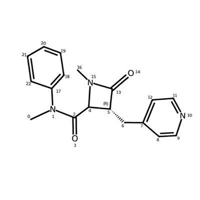 CN(C(=O)C1[C@@H](Cc2ccncc2)C(=O)N1C)c1ccccc1